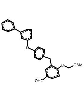 COCOc1ccc(C=O)cc1Cc1ccc(Oc2cccc(-c3ccccc3)c2)cc1